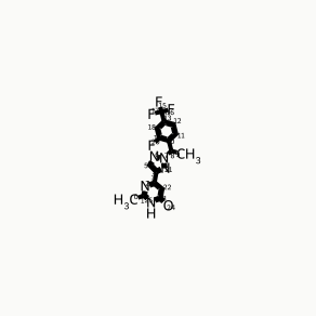 Cc1nc(-c2cnn(C(C)c3ccc(C(F)(F)F)cc3F)n2)cc(=O)[nH]1